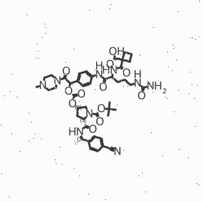 C[C@H](NC(=O)[C@@H]1C[C@@H](OC(=O)OC(C(=O)N2CCN(C)CC2)c2ccc(NC(=O)C(CCCNC(N)=O)NC(=O)C3(C(=O)O)CCC3)cc2)CN1C(=O)OC(C)(C)C)c1ccc(C#N)cc1